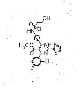 COC(=O)C1=C(C23CC(NS(=O)(=O)CCO)(C2)C3)NC(c2nccs2)=NC1c1ccc(F)cc1Cl